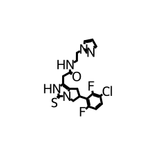 O=C(Cc1[nH]c(=S)n2c1CC(c1c(F)ccc(Cl)c1F)C2)NCCn1cccn1